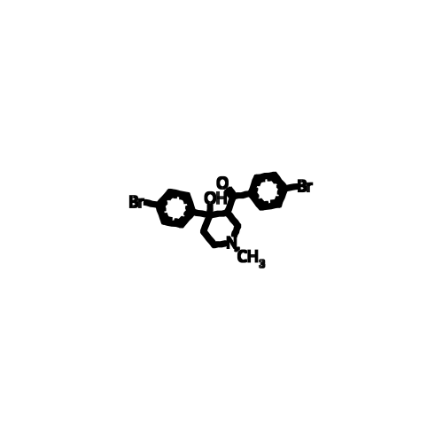 CN1CCC(O)(c2ccc(Br)cc2)C(C(=O)c2ccc(Br)cc2)C1